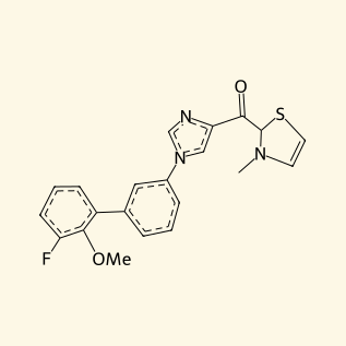 COc1c(F)cccc1-c1cccc(-n2cnc(C(=O)C3SC=CN3C)c2)c1